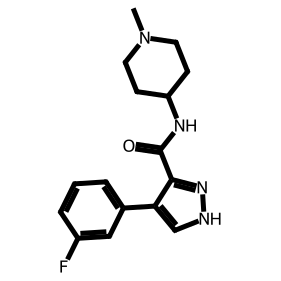 CN1CCC(NC(=O)c2n[nH]cc2-c2cccc(F)c2)CC1